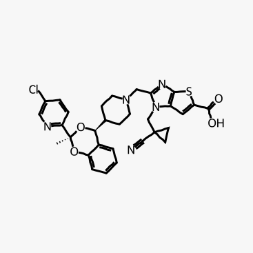 C[C@@]1(c2ccc(Cl)cn2)Oc2ccccc2[C@H](C2CCN(Cc3nc4sc(C(=O)O)cc4n3CC3(C#N)CC3)CC2)O1